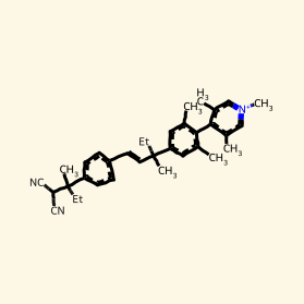 CCC(C)(/C=C/c1ccc(C(C)(CC)C(C#N)C#N)cc1)c1cc(C)c(-c2c(C)c[n+](C)cc2C)c(C)c1